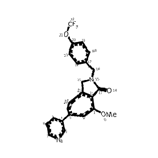 COc1cc(-c2cccnc2)cc2c1C(=O)N(Cc1ccc(OC(F)(F)F)cc1)C2